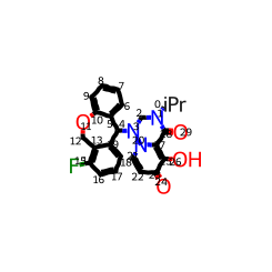 CC(C)N1CN(C2c3ccccc3OCc3c(F)cccc32)n2ccc(=O)c(O)c2C1=O